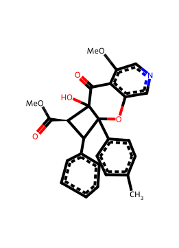 COC(=O)[C@@H]1C(c2ccccc2)C2(c3ccc(C)cc3)Oc3cncc(OC)c3C(=O)C12O